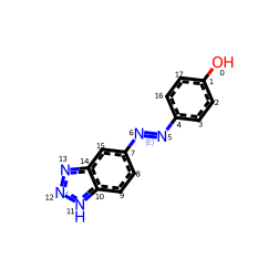 Oc1ccc(/N=N/c2ccc3[nH]nnc3c2)cc1